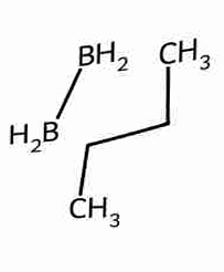 BB.CCCC